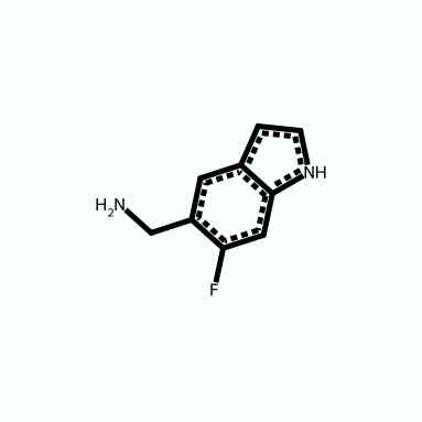 NCc1cc2cc[nH]c2cc1F